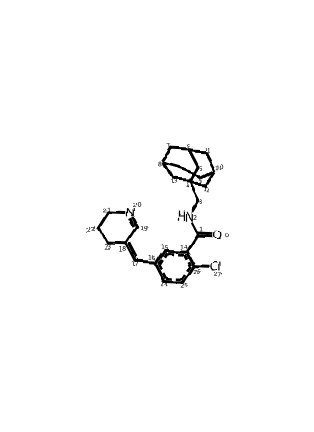 O=C(NCC12CC3CC(CC(C3)C1)C2)c1cc(C=C2C=NCCC2)ccc1Cl